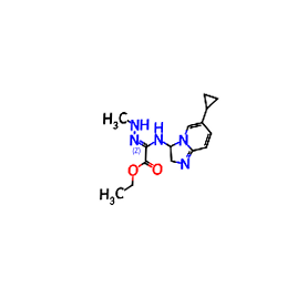 CCOC(=O)/C(=N/NC)NC1CN=C2C=CC(C3CC3)=CN21